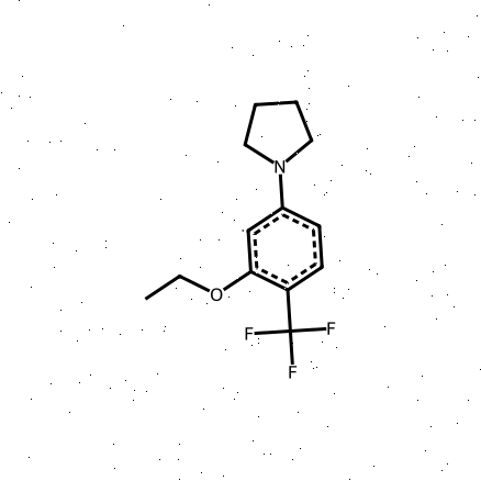 CCOc1[c]c(N2CCCC2)ccc1C(F)(F)F